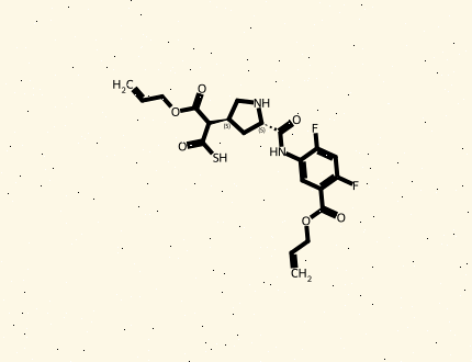 C=CCOC(=O)c1cc(NC(=O)[C@@H]2C[C@@H](C(C(=O)S)C(=O)OCC=C)CN2)c(F)cc1F